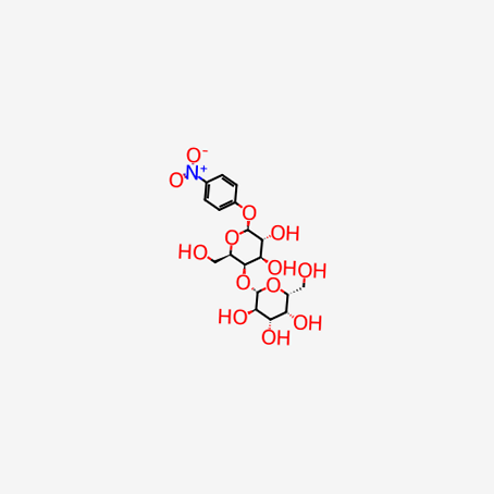 O=[N+]([O-])c1ccc(O[C@@H]2O[C@H](CO)[C@H](O[C@@H]3O[C@H](CO)[C@H](O)[C@H](O)[C@H]3O)[C@H](O)[C@H]2O)cc1